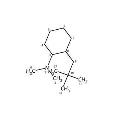 CN(C)C1CCCCC1CC(C)(C)C